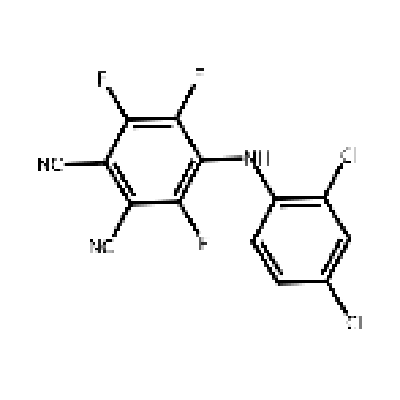 N#Cc1c(F)c(F)c(Nc2ccc(Cl)cc2Cl)c(F)c1C#N